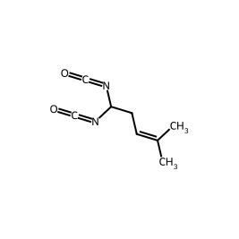 CC(C)=CCC(N=C=O)N=C=O